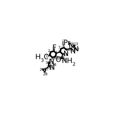 Cc1cc(F)c(-c2ccc(-c3nncn3C(C)C)nc2C(N)=O)cc1-n1cnc(C2CC2)c1